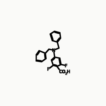 O=C(O)c1c(F)cc(N(Cc2ccccc2)Cc2ccccc2)cc1F